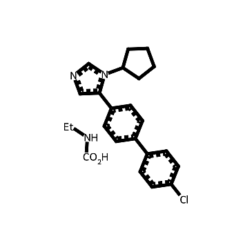 CCNC(=O)O.Clc1ccc(-c2ccc(-c3cncn3C3CCCC3)cc2)cc1